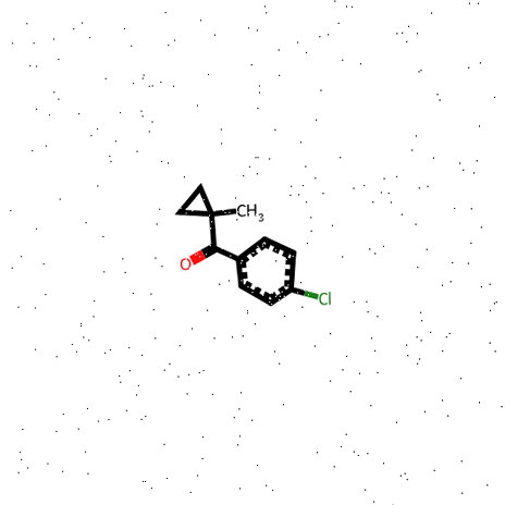 CC1(C(=O)c2ccc(Cl)cc2)CC1